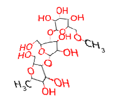 COCC1O[C@@H](O[C@H]2C(CO)O[C@@H](O[C@H]3C(CO)O[C@@H](C)C(O)[C@@H]3O)C(O)[C@@H]2O)C(O)[C@H](O)[C@@H]1O